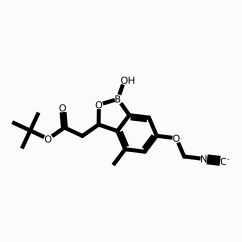 [C-]#[N+]COc1cc(C)c2c(c1)B(O)OC2CC(=O)OC(C)(C)C